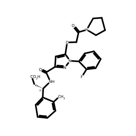 Cc1ccccc1[C@H](CC(=O)O)NC(=O)c1cc(OCC(=O)N2CCCC2)n(-c2ccccc2F)n1